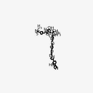 Cc1ncsc1-c1ccc(CNC(=O)[C@@H]2C[C@@H](O)CN2C[C@@H](NC(=O)COCCOCCOCCOCCOc2ccc(-c3ccc4c(c3)[nH]c3ccncc34)cn2)C(C)(C)C)cc1